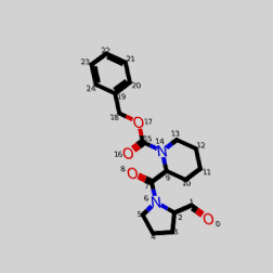 O=CC1CCCN1C(=O)C1CCCCN1C(=O)OCc1ccccc1